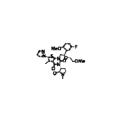 COCCO[C@@H](Cn1c(=O)n([C@@H]2CCN(C)C2=O)c(=O)c2c(C)c(-n3cccn3)sc21)c1cc(F)ccc1OC